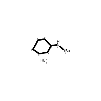 Br.CC(C)(C)NC1CCCCC1